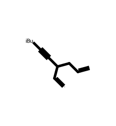 [CH]=CC(C#CC(C)CC)CC=C